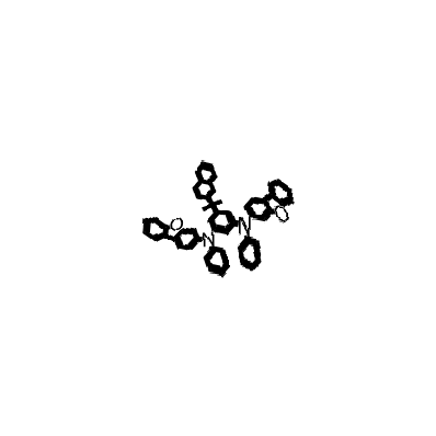 CC(C)(c1cc(N(c2ccccc2)c2ccc3c(c2)oc2ccccc23)cc(N(c2ccccc2)c2ccc3c(c2)oc2ccccc23)c1)c1ccc2ccccc2c1